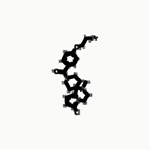 CC(C)CCOc1ccc(C(=O)N2CCC3(CC2)c2ccc(Cl)n2CCN3C)cc1